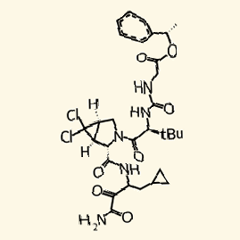 C[C@H](OC(=O)CNC(=O)N[C@H](C(=O)N1C[C@H]2[C@@H]([C@H]1C(=O)NC(CC1CC1)C(=O)C(N)=O)C2(Cl)Cl)C(C)(C)C)c1ccccc1